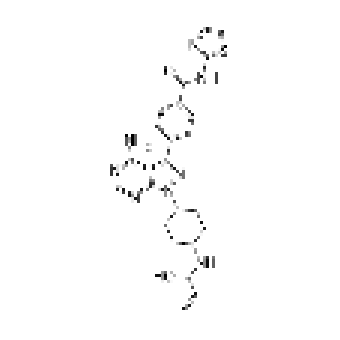 C=CC(O)NC1CCC(n2nc(-c3ccc(C(=O)Nc4nccs4)cc3)c3c(N)ncnc32)CC1